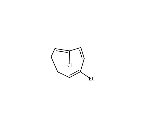 CCC1=C/CC/C=C(Cl)/C=C\1